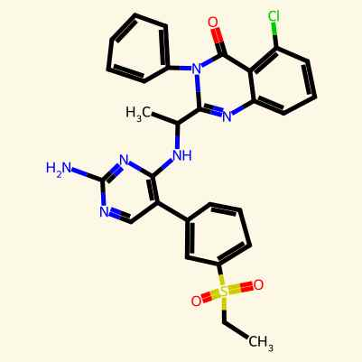 CCS(=O)(=O)c1cccc(-c2cnc(N)nc2NC(C)c2nc3cccc(Cl)c3c(=O)n2-c2ccccc2)c1